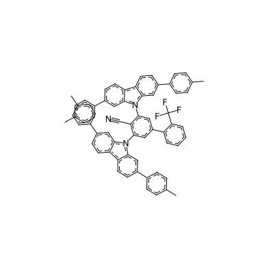 Cc1ccc(-c2ccc3c4ccc(-c5ccc(C)cc5)cc4n(-c4cc(-c5ccccc5C(F)(F)F)cc(-n5c6cc(-c7ccc(C)cc7)ccc6c6ccc(-c7ccc(C)cc7)cc65)c4C#N)c3c2)cc1